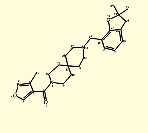 Cc1nocc1C(=O)N1CCC2(CCN(Cc3cccc4c3OC(C)(C)C4)CC2)CC1